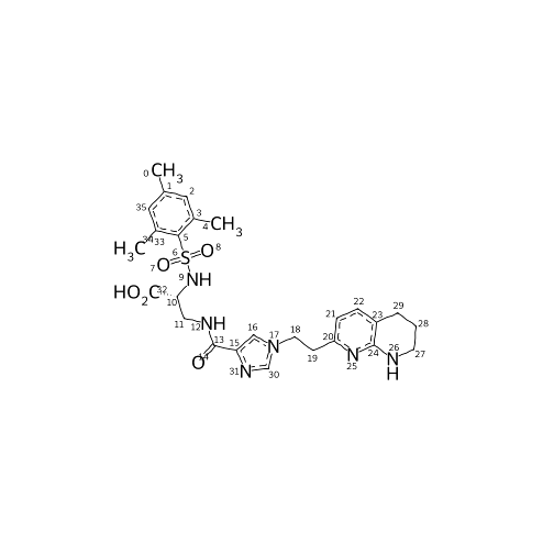 Cc1cc(C)c(S(=O)(=O)N[C@H](CNC(=O)c2cn(CCc3ccc4c(n3)NCCC4)cn2)C(=O)O)c(C)c1